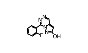 Oc1cc2cnnc(-c3ccccc3F)n2n1